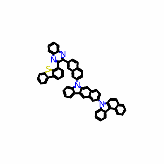 c1ccc2c(c1)ccc1c2c2ccccc2n1-c1ccc2cc3c(cc2c1)c1ccccc1n3-c1ccc2ccc(-c3nc4ccccc4nc3-c3cccc4c3sc3ccccc34)cc2c1